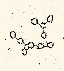 c1ccc(-c2ccc(-n3c4ccccc4c4cc(-c5ccc6c7ccccc7n(-c7ccc(-c8nc(-c9ccccc9)cc(-c9ccccc9)n8)cc7)c6c5)ccc43)cc2)cc1